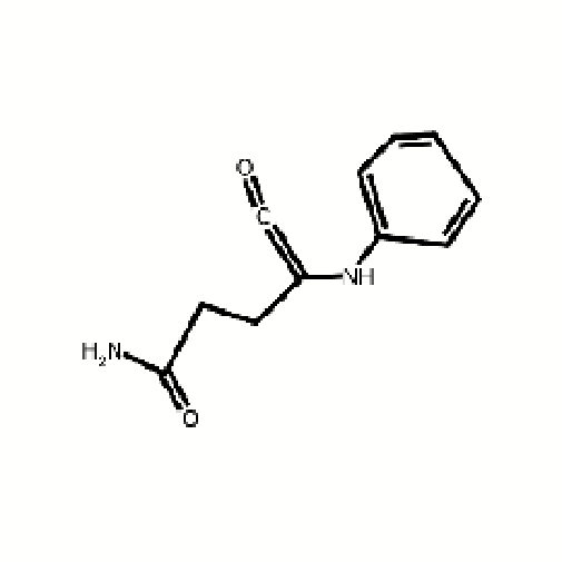 NC(=O)CCC(=C=O)Nc1ccccc1